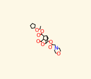 CC(OC(=O)C1C2CC3C(OC(=O)C31)C2OC(=O)CN1CCOCC1)OC1CCCC1